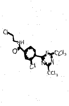 O=C(NCCCl)c1ccc(-c2nc(C(Cl)(Cl)Cl)nc(C(Cl)(Cl)Cl)n2)c(Cl)c1